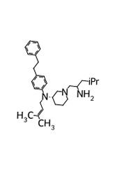 CC(C)=CCN(c1ccc(CCc2ccccc2)cc1)[C@H]1CCCN(CC(N)CC(C)C)C1